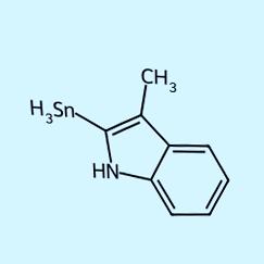 Cc1[c]([SnH3])[nH]c2ccccc12